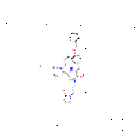 CC(C)CCN(C)[C@@H](CC(C)C)C(=O)N[C@@H](Cc1ccc(OCc2ccccc2)cc1)C(=O)NCCCN1CCCC1=O